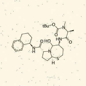 C[C@@H](C(=O)N[C@H]1CCS[C@H]2CC[C@H](C(=O)N[C@@H]3CCCc4ccccc43)N2C1O)N(C)C(=O)OC(C)(C)C